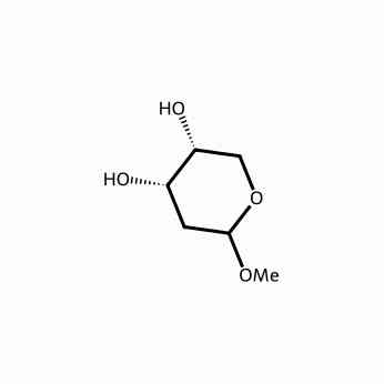 COC1C[C@H](O)[C@H](O)CO1